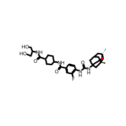 C[C@]12CC3CC(NC(=O)Nc4ccc(C(=O)NC5CCC(C(=O)NC(CO)CO)CC5)cc4F)(C1)C[C@@](C)(C3)C2